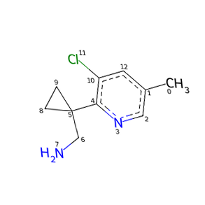 Cc1cnc(C2(CN)CC2)c(Cl)c1